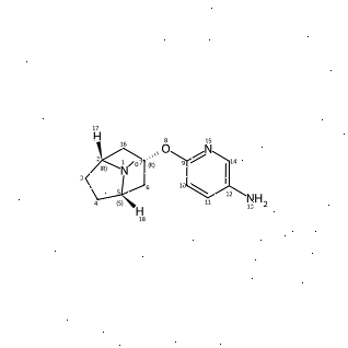 CN1[C@@H]2CC[C@H]1C[C@@H](Oc1ccc(N)cn1)C2